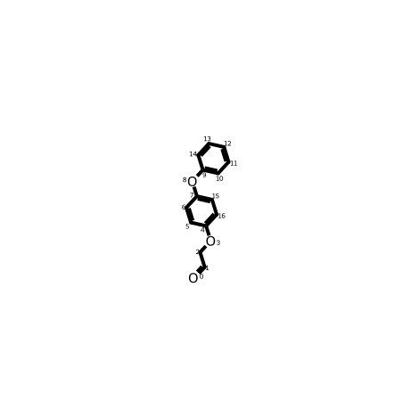 O=CCOc1ccc(Oc2ccccc2)cc1